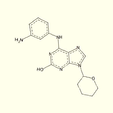 Nc1cccc(Nc2nc(O)nc3c2ncn3C2CCCCO2)c1